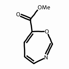 COC(=O)C1=CC=CN=CO1